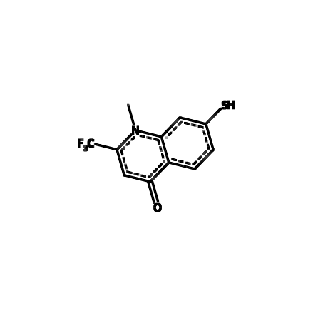 Cn1c(C(F)(F)F)cc(=O)c2ccc(S)cc21